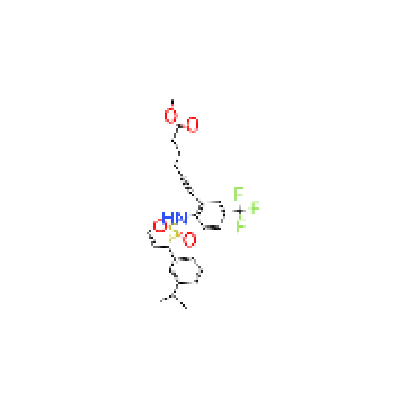 C=CC(c1cccc(C(C)C)c1)S(=O)(=O)Nc1ccc(C(F)(F)F)cc1C#CCCCC(=O)OC